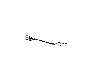 [CH2]CCCCCCCCCCCCCCCCCCCCCCCCCCCCCOCC